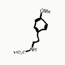 COc1ccc(CCNC(=O)O)cc1